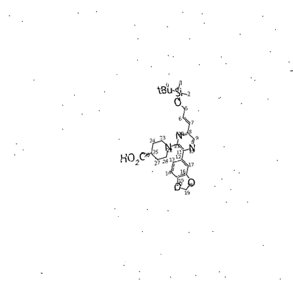 CC(C)(C)[Si](C)(C)OC/C=C/c1cnc(-c2ccc3c(c2)OCO3)c(N2CCC(C(=O)O)CC2)n1